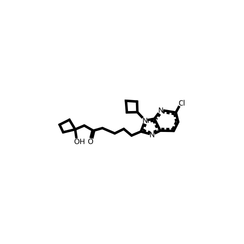 O=C(CCCCc1nc2ccc(Cl)nc2n1C1CCC1)CC1(O)CCC1